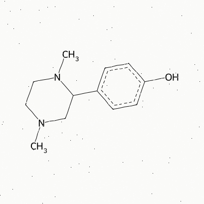 CN1CCN(C)C(c2ccc(O)cc2)C1